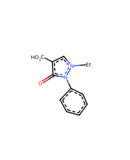 CCn1cc(C(=O)O)c(=O)n1-c1ccccc1